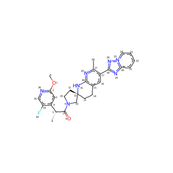 COc1cc([C@@H](C)C(=O)N2CC[C@@]3(CCc4cc(-c5nc6ccccn6n5)c(C)nc4N3)C2)c(F)cn1